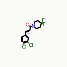 O=C(/C=C/c1ccc(Cl)c(Cl)c1)N1CCC(F)(F)CC1